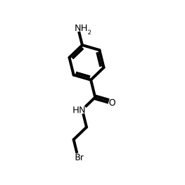 Nc1ccc(C(=O)NCCBr)cc1